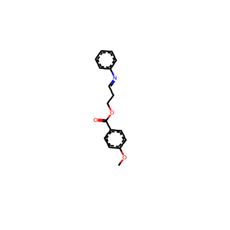 COc1ccc(C(=O)OCCC=Nc2ccccc2)cc1